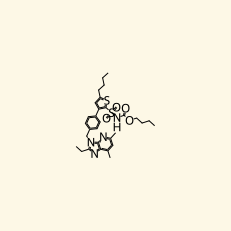 CCCCOC(=O)NS(=O)(=O)c1sc(CCCC)cc1-c1ccc(Cn2c(CC)nc3c(C)cc(C)nc32)cc1